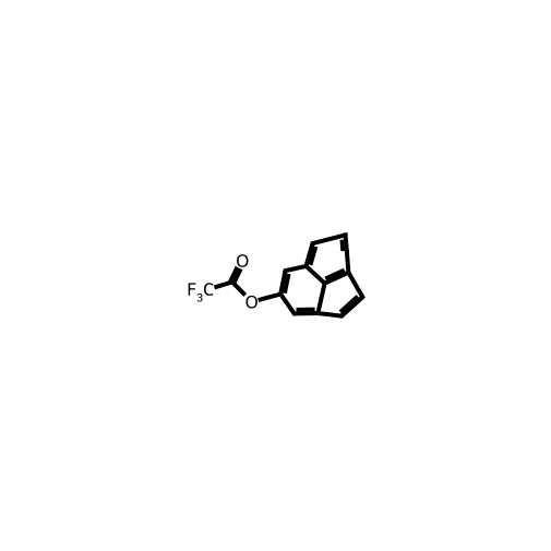 O=C(Oc1cc2c3c(cccc3c1)C=C2)C(F)(F)F